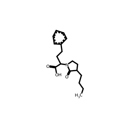 CCCCC1CCN(C(CCc2ccccc2)C(=O)O)C1=O